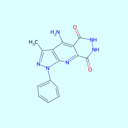 Cc1nn(-c2ccccc2)c2nc3c(=O)[nH][nH]c(=O)c3c(N)c12